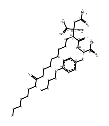 CCCCCCCC(=O)CCCCCCCC[C@H](C(=O)N[C@@H](Cc1ccc(OCCCC)cc1)C(=O)O)[C@@](O)(CC(N)=O)C(=O)O